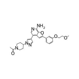 COCCOc1cccc(-c2cc3c(-c4cnn(C5CCN(C(C)=O)CC5)c4)cnc(N)c3o2)c1